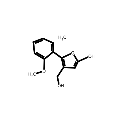 COc1ccccc1-c1oc(O)cc1CO.O